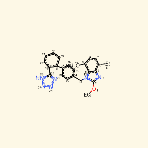 CCOc1nc2c(CC)ccc(C(=O)O)c2n1Cc1ccc(-c2ccccc2-c2nnn[nH]2)cc1